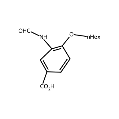 CCCCCCOc1ccc(C(=O)O)cc1NC=O